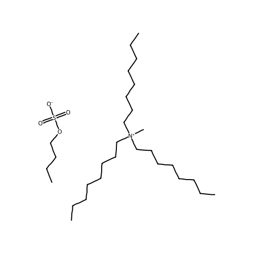 CCCCCCCC[N+](C)(CCCCCCCC)CCCCCCCC.CCCCOS(=O)(=O)[O-]